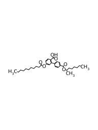 CCCCCCCCCCC(=O)Oc1ccc(C(=O)O)c(-c2ccc(C(=O)O[C@H](C)CCCCCC)cc2)c1